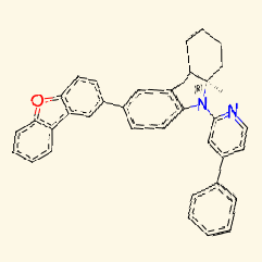 C[C@@]12CCCCC1c1cc(-c3ccc4oc5ccccc5c4c3)ccc1N2c1cc(-c2ccccc2)ccn1